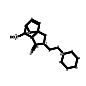 O=C(O)C1C2C=CC3(CN(CCN4CCCCC4)C(=O)C13)O2